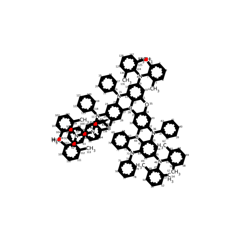 Cc1cccc(C)c1N(c1cc2c3c(c1)N(c1ccccc1)c1cc4c(cc1B3c1cc3c(cc1O2)N(c1ccccc1)c1cc(N(c2c(C)cccc2C)c2c(C)cccc2C)cc2c1B3c1ccccc1N2c1ccccc1)B1c2ccccc2N(c2ccccc2)c2cc(N(c3c(C)cccc3C)c3c(C)cccc3C)cc(c21)N4c1ccccc1)c1c(C)cccc1C